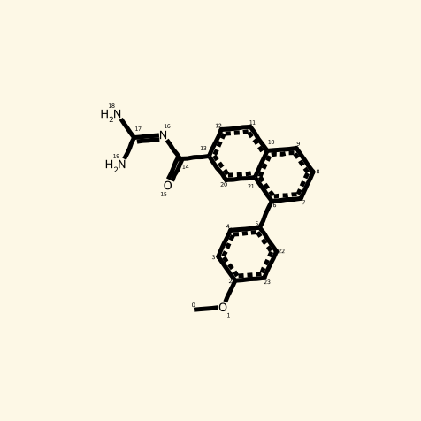 COc1ccc(-c2cccc3ccc(C(=O)N=C(N)N)cc23)cc1